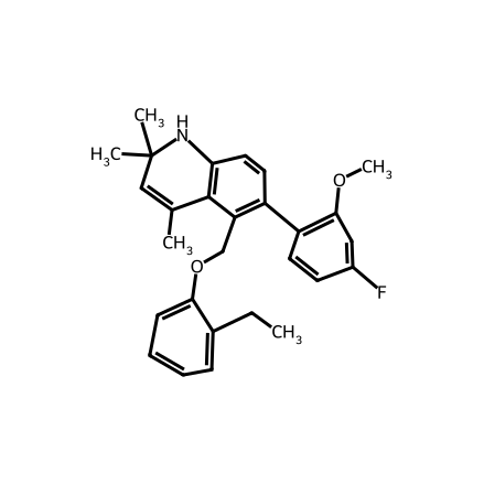 CCc1ccccc1OCc1c(-c2ccc(F)cc2OC)ccc2c1C(C)=CC(C)(C)N2